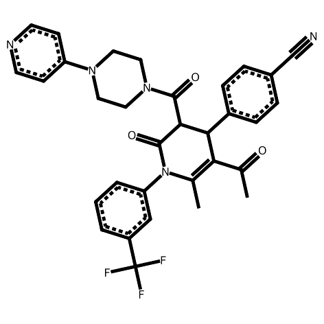 CC(=O)C1=C(C)N(c2cccc(C(F)(F)F)c2)C(=O)C(C(=O)N2CCN(c3ccncc3)CC2)C1c1ccc(C#N)cc1